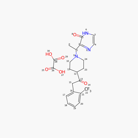 CC(c1ncc[nH]c1=O)N1CCC(C(=O)Cc2ccccc2C(F)(F)F)CC1.O=C(O)C(=O)O